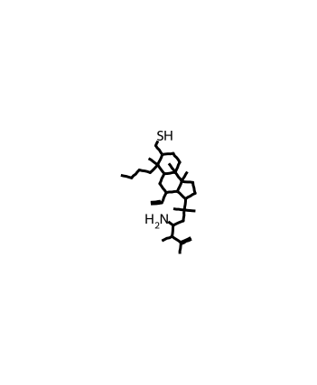 C=CC1CC2C(C)(CCCC)C(CS)CCC2(C)C2(C)CCC(C(C)(C)CC(N)C(C)C(=C)C)C12